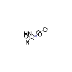 CC1=C(C#N)C(=O)NC/C1=C\c1ccc(-c2ccccc2)o1